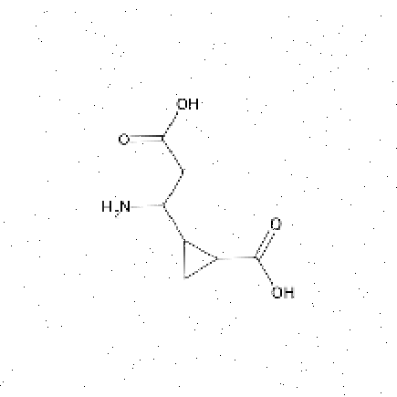 NC(CC(=O)O)C1CC1C(=O)O